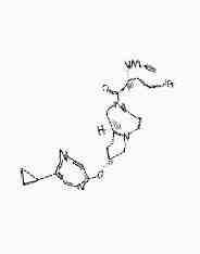 CN[C@H](CC(C)C)C(=O)N1CCN2C[C@H](Oc3cnc(C4CC4)cn3)C[C@H]2C1